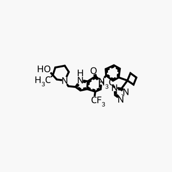 Cn1cnnc1C1(c2cccc(-n3cc(C(F)(F)F)c4cc(CN5CCC[C@@](C)(O)C5)[nH]c4c3=O)c2)CCC1